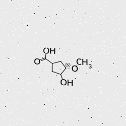 CO[C@H]1CC(C(=O)O)CC1O